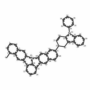 Cc1cccc2cc3c(cc12)c1cccc2c4cc5ccc(C6C=Cc7c(c8ccccc8n7-c7ccccc7)C6)cc5cc4n3c21